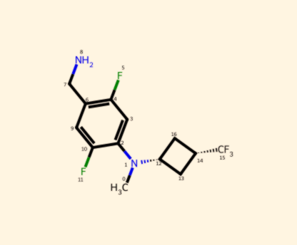 CN(c1cc(F)c(CN)cc1F)[C@H]1C[C@@H](C(F)(F)F)C1